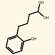 Oc1ccccc1CCCC(O)O